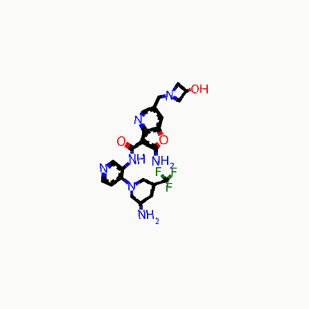 Nc1oc2cc(CN3CC(O)C3)cnc2c1C(=O)Nc1cnccc1N1CC(N)CC(C(F)(F)F)C1